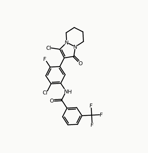 O=C(Nc1cc(-c2c(Cl)n3n(c2=O)CCCC3)c(F)cc1Cl)c1cccc(C(F)(F)F)c1